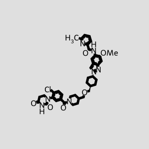 COc1cc2nn([C@H]3CC[C@H](COCC4CCN(C(=O)c5ccc(Cl)c(N6CCC(=O)NC6=O)c5)CC4)CC3)cc2cc1NC(=O)c1cccc(C)n1